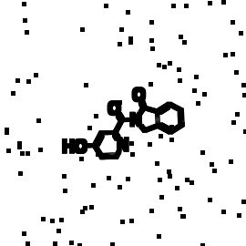 O=C(c1cc(O)ccn1)N1Cc2ccccc2C1=O